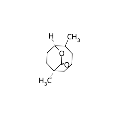 CC1CCC[C@@]2(C)CC[C@@H]1OC2=O